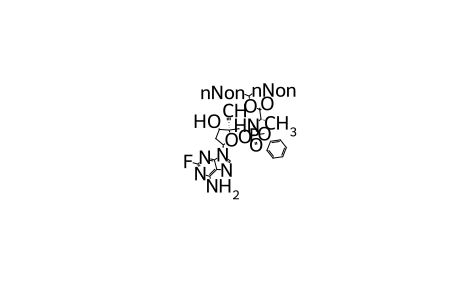 C#C[C@]1(CO[P@](=O)(N[C@@H](C)C(=O)OC(CCCCCCCCC)CCCCCCCCC)Oc2ccccc2)O[C@@H](n2cnc3c(N)nc(F)nc32)C[C@@H]1O